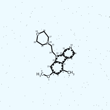 COc1cc(C)c2c3ccncc3n(CCN3CCOCC3)c2c1